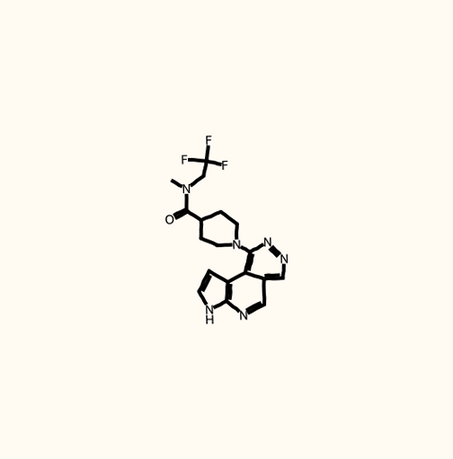 CN(CC(F)(F)F)C(=O)C1CCN(c2nncc3cnc4[nH]ccc4c23)CC1